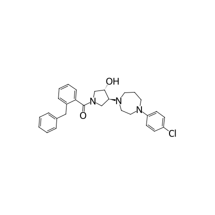 O=C(c1ccccc1Cc1ccccc1)N1C[C@H](O)[C@@H](N2CCCN(c3ccc(Cl)cc3)CC2)C1